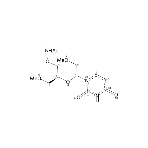 COC[C@@H](CONC(C)=O)O[C@H](COC)n1ccc(=O)[nH]c1=O